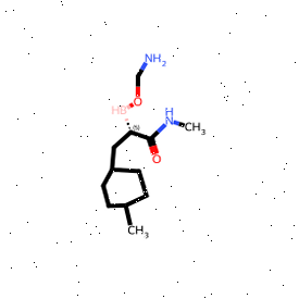 CNC(=O)[C@@H](BOCN)CC1CCC(C)CC1